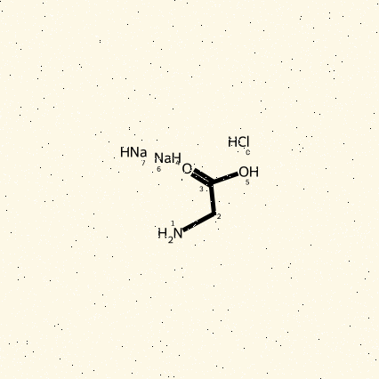 Cl.NCC(=O)O.[NaH].[NaH]